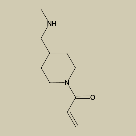 C=CC(=O)N1CCC(CNC)CC1